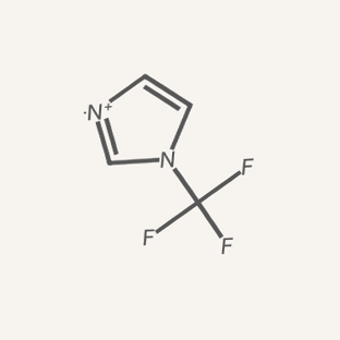 FC(F)(F)N1C=C[N+]=C1